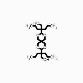 CCCC(CO)(CCC)C1OCC2(CO1)COC(C(CO)(CCC)CCC)OC2